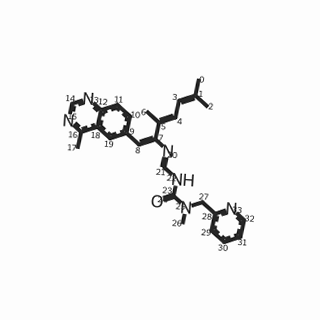 CC(C)=C/C=C(C)/C(=C\c1ccc2ncnc(C)c2c1)/N=C/NC(=O)N(C)Cc1ccccn1